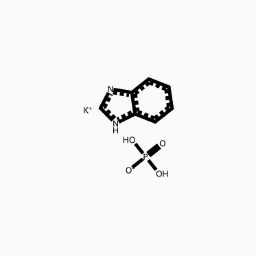 O=P([O-])(O)O.[K+].c1ccc2[nH]cnc2c1